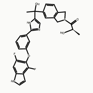 C[C@@H](O)C(=O)N1Cc2ccc(C(C)(O)c3cnc(-c4cccc(Oc5c(F)cc6[nH]ccc6c5F)c4)[nH]3)cc2C1